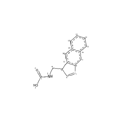 O=C(O)NCC1C=Cc2cc3ccccc3cc21